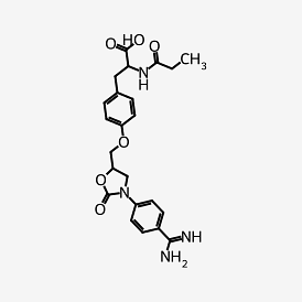 CCC(=O)NC(Cc1ccc(OCC2CN(c3ccc(C(=N)N)cc3)C(=O)O2)cc1)C(=O)O